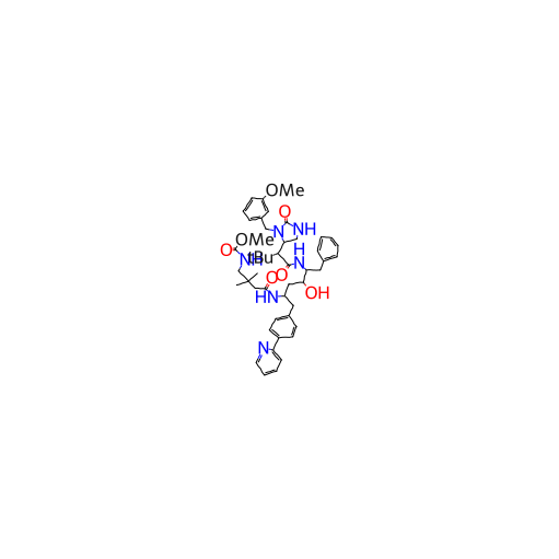 COC(=O)NCC(C)(C)CC(=O)NC(Cc1ccc(-c2ccccn2)cc1)CC(O)C(Cc1ccccc1)NC(=O)C(C1CNC(=O)N1Cc1cccc(OC)c1)C(C)(C)C